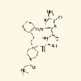 C[N+](C)(C)CC(=O)N1CCC(CCc2ccccc2)(CNC(=N)NC(=O)c2nc(Cl)c(N)nc2N)CC1